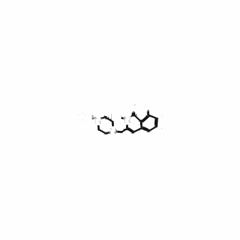 CCCn1c(CN2CCN(C(C)(C)C)CC2)cc2cccc(Cl)c2c1=O